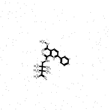 COC(=O)c1ccc(-c2ccccc2)nc1C(=O)NCC(C)(C)C(C)(C)C(N)=O